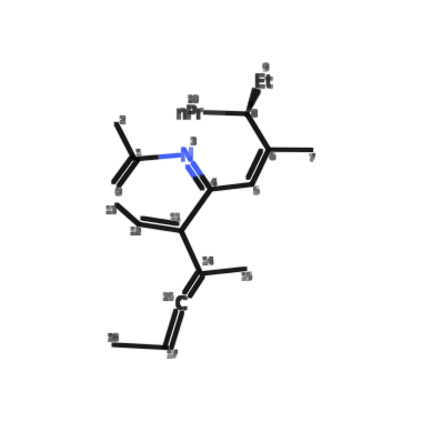 C=C(C)/N=C(/C=C(/C)[C@H](CC)CCC)C(=C/C)\C(C)=C=CC